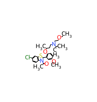 CCOCCN(CCC(C)Oc1ccc(OC)cc1C1Sc2cc(Cl)ccc2N1C(C)=O)C(C)C